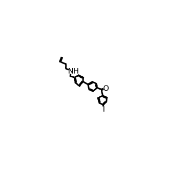 C=CCCNCc1ccc(-c2ccc(C(=O)c3ccc(I)cc3)cc2)cc1